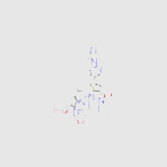 CN1CCN(c2ccc(-c3cc(C(N)=O)c(Nc4cccc(C(CO)N5CCOCC5)n4)s3)cn2)CC1